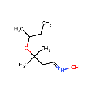 CCC(C)OC(C)(C)C/C=N/O